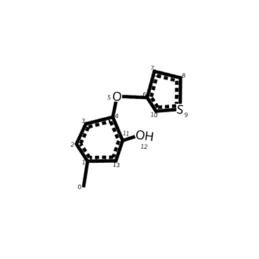 Cc1ccc(Oc2ccsc2)c(O)c1